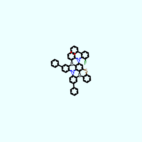 Fc1cccc(-c2ccccc2)c1N1c2ccccc2B2c3cc(-c4ccccc4)ccc3N3c4ccc(-c5ccccc5)cc4B4c5ccccc5Sc5cc1c2c3c54